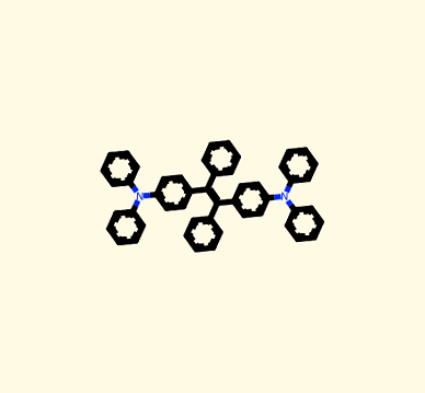 c1ccc(/C(=C(/c2ccccc2)c2ccc(N(c3ccccc3)c3ccccc3)cc2)c2ccc(N(c3ccccc3)c3ccccc3)cc2)cc1